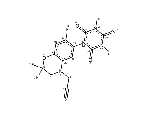 C#CCN1CC(F)(F)Oc2cc(F)c(-n3c(=O)n(C)c(=S)n(C)c3=O)cc21